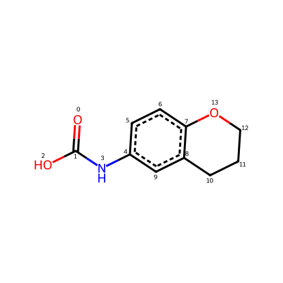 O=C(O)Nc1ccc2c(c1)CCCO2